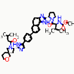 COC(=O)N[C@H](C(=O)N1CCC[C@H]1c1nc2ccc3cc(-c4ccc(-c5cnc([C@@H]6C[C@]7(CCCOC7)CN6C(=O)CC(C)C)[nH]5)cc4)ccc3c2[nH]1)C(C)C